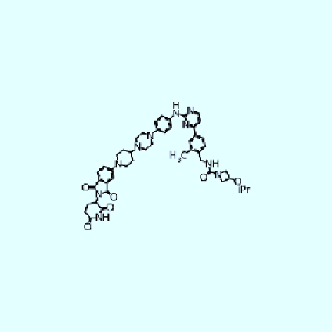 Cc1cc(-c2ccnc(Nc3ccc(N4CCN(C5CCN(c6ccc7c(c6)C(=O)N(C6CCC(=O)NC6=O)C7=O)CC5)CC4)cc3)n2)ccc1CNC(=O)N1CC(OC(C)C)C1